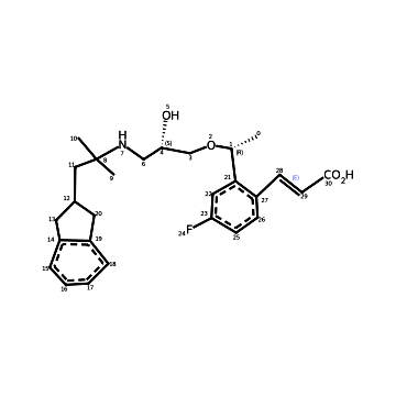 C[C@@H](OC[C@@H](O)CNC(C)(C)CC1Cc2ccccc2C1)c1cc(F)ccc1/C=C/C(=O)O